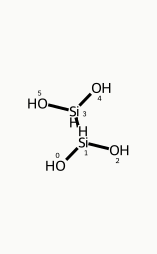 O[SiH](O)[SiH](O)O